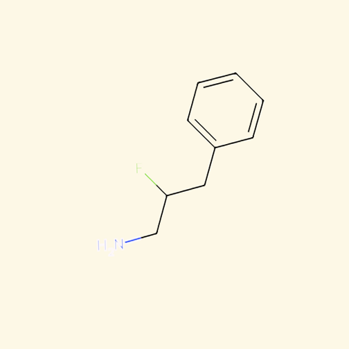 NCC(F)Cc1ccccc1